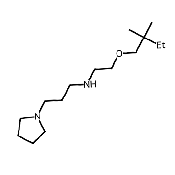 CCC(C)(C)COCCNCCCN1CCCC1